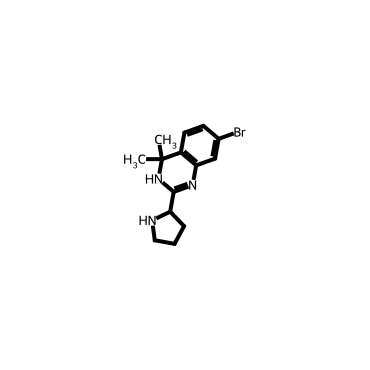 CC1(C)NC(C2CCCN2)=Nc2cc(Br)ccc21